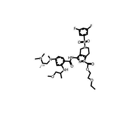 CCOCCOC(=O)n1nc(NC(=O)c2ccc(N(C)C[C@H](C)N(C)C)cc2NC(C)COC)c2c1CCN(S(=O)(=O)c1cc(F)cc(F)c1)C2